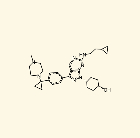 CN1CCN(C2(c3ccc(-c4nn([C@H]5CC[C@H](O)CC5)c5nc(NCCC6CC6)ncc45)cc3)CC2)CC1